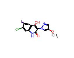 COc1cnn(-c2c(O)c3cc(I)c(Cl)cc3[nH]c2=O)c1